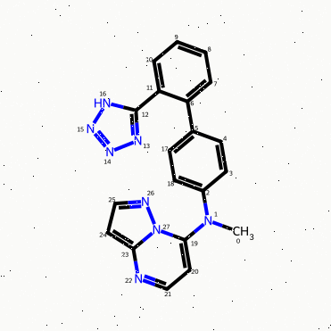 CN(c1ccc(-c2ccccc2-c2nnn[nH]2)cc1)c1ccnc2ccnn12